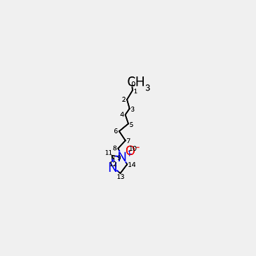 CCCCCCCCC[N+]1([O-])C=NCC1